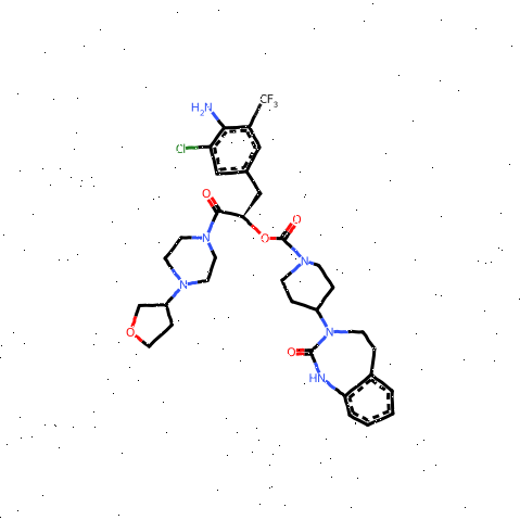 Nc1c(Cl)cc(C[C@@H](OC(=O)N2CCC(N3CCc4ccccc4NC3=O)CC2)C(=O)N2CCN(C3CCOC3)CC2)cc1C(F)(F)F